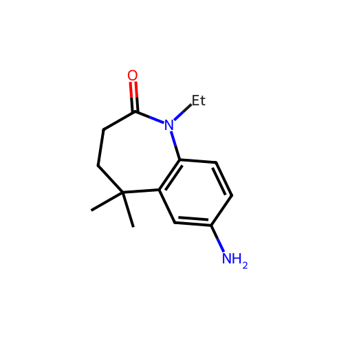 CCN1C(=O)CCC(C)(C)c2cc(N)ccc21